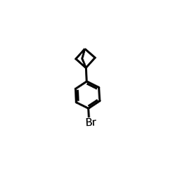 Brc1ccc(C23CC(C2)C3)cc1